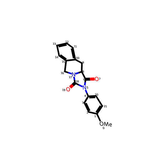 COc1ccc(N2C(=O)C3Cc4ccccc4CN3C2=O)cc1